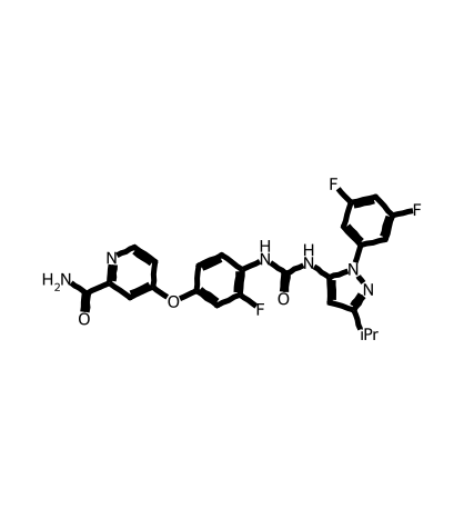 CC(C)c1cc(NC(=O)Nc2ccc(Oc3ccnc(C(N)=O)c3)cc2F)n(-c2cc(F)cc(F)c2)n1